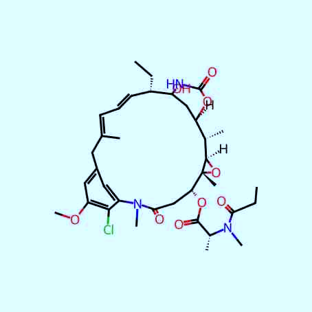 CCC(=O)N(C)[C@H](C)C(=O)O[C@@H]1CC(=O)N(C)c2cc(cc(OC)c2Cl)C/C(C)=C/C=C/[C@H](CC)[C@]2(O)C[C@@H](OC(=O)N2)[C@H](C)[C@H]2O[C@@]21C